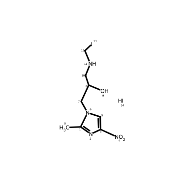 Cc1nc([N+](=O)[O-])cn1CC(O)CNCI.I